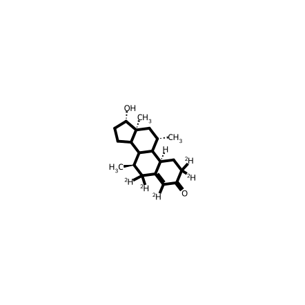 [2H]C1=C2[C@H](CC([2H])([2H])C1=O)C1C(C3CC[C@H](O)[C@@]3(C)C[C@@H]1C)[C@H](C)C2([2H])[2H]